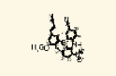 COc1cc(/C=C/C#N)cc(Br)c1Oc1ccc([N+](=O)[O-])c(Nc2ccc(C#N)cc2)n1